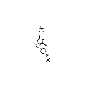 CC(C)(C)OC(=O)N1CCC(N2CCN(CCCO[Si](C)(C)C(C)(C)C)C2=C(C#N)C#N)CC1